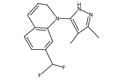 Cc1n[nH]c(N2CC=Cc3ccc(C(F)F)cc32)c1C